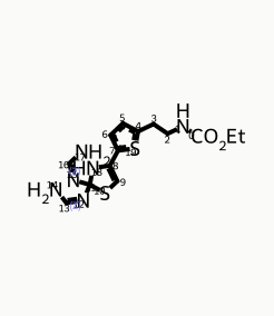 CCOC(=O)NCCc1ccc(C2=CSC(/N=C\N)(/N=C\N)N2)s1